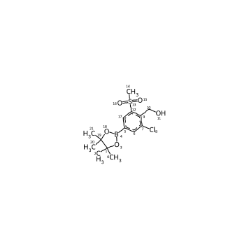 CC1(C)OB(c2cc(Cl)c(CO)c(S(C)(=O)=O)c2)OC1(C)C